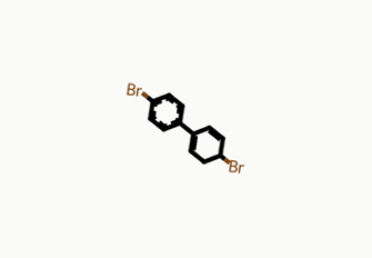 Brc1ccc(C2=CCC(Br)C=C2)cc1